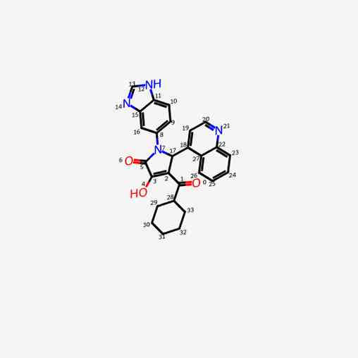 O=C(C1=C(O)C(=O)N(c2ccc3[nH]cnc3c2)C1c1ccnc2ccccc12)C1CCCCC1